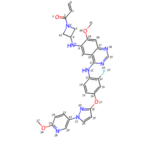 C=CC(=O)N1CC(Nc2cc3c(Nc4ccc(Oc5ccn(-c6ccc(OC)nc6)n5)cc4F)ncnc3cc2OC)C1